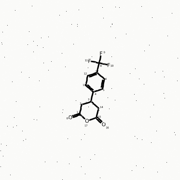 O=C1CC(c2ccc(C(F)(F)F)cc2)CC(=O)O1